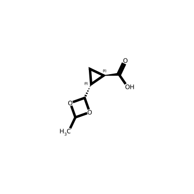 CC1OC([C@@H]2C[C@H]2C(=O)O)O1